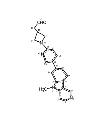 Cn1c2ccncc2c2ccc(-c3ccc(N4CC(CC=O)C4)nc3)cc21